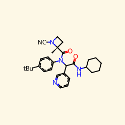 CC(C)(C)c1ccc(N(C(=O)[C@@]2(C)CCN2C#N)C(C(=O)NC2CCCCC2)c2cccnc2)cc1